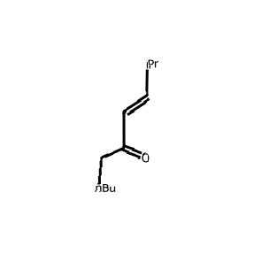 CCCCCC(=O)/C=C/C(C)C